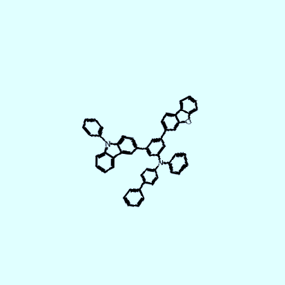 c1ccc(-c2ccc(N(c3ccccc3)c3cc(-c4ccc5c(c4)oc4ccccc45)cc(-c4ccc5c(c4)c4ccccc4n5-c4ccccc4)c3)cc2)cc1